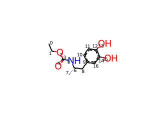 CCOC(=O)N[C@@H](C)Cc1ccc(O)c(O)c1